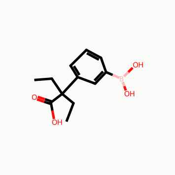 CCC(CC)(C(=O)O)c1cccc(B(O)O)c1